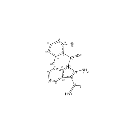 CC(=N)c1c(N)n(C(=O)c2c(Cl)cccc2Br)c2ccccc12